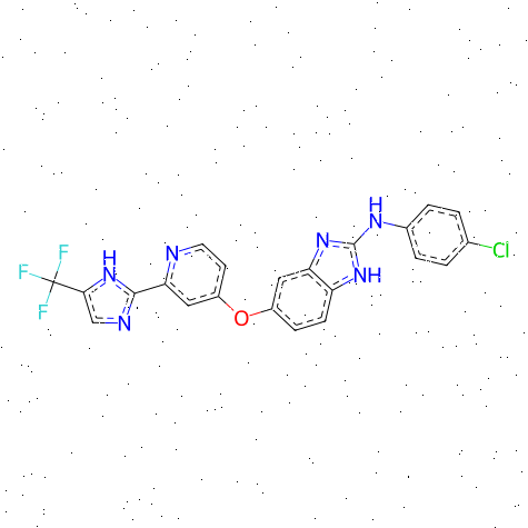 FC(F)(F)c1cnc(-c2cc(Oc3ccc4[nH]c(Nc5ccc(Cl)cc5)nc4c3)ccn2)[nH]1